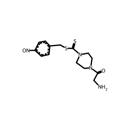 NCC(=O)N1CCN(C(=S)SCc2ccc(N=O)cc2)CC1